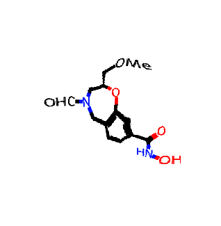 COC[C@@H]1CN(C=O)Cc2ccc(C(=O)NO)cc2O1